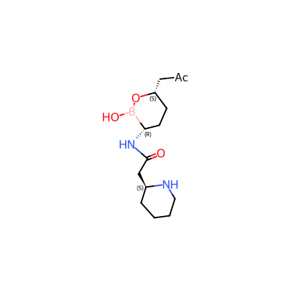 CC(=O)C[C@@H]1CC[C@H](NC(=O)C[C@@H]2CCCCN2)B(O)O1